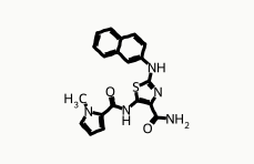 Cn1cccc1C(=O)Nc1sc(Nc2ccc3ccccc3c2)nc1C(N)=O